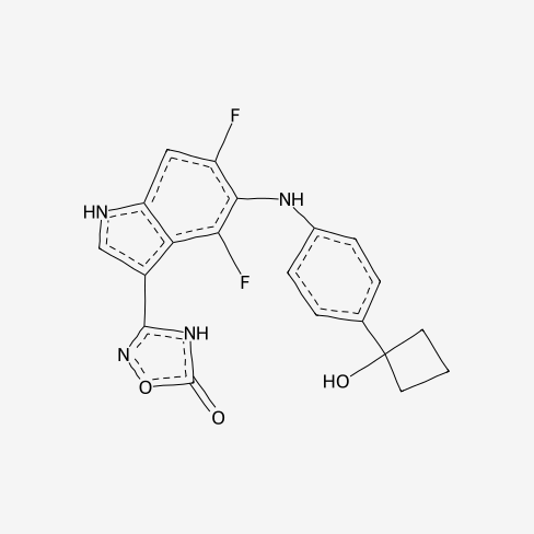 O=c1[nH]c(-c2c[nH]c3cc(F)c(Nc4ccc(C5(O)CCC5)cc4)c(F)c23)no1